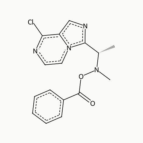 C[C@@H](c1ncc2c(Cl)nccn12)N(C)OC(=O)c1ccccc1